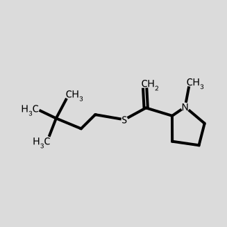 C=C(SCCC(C)(C)C)C1CCCN1C